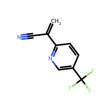 C=C(C#N)c1ccc(C(F)(F)F)cn1